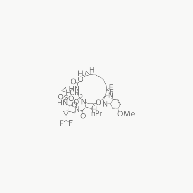 CCC[C@@H]1[C@@H]2CN(C(=O)CNC(=O)O[C@@H]3C[C@H]3CCCCC(F)(F)c3nc4ccc(OC)cc4nc3O2)[C@@H]1C(=O)/N=C/[C@]1(C(=O)NS(=O)(=O)C2(C)CC2)C[C@H]1C(F)F